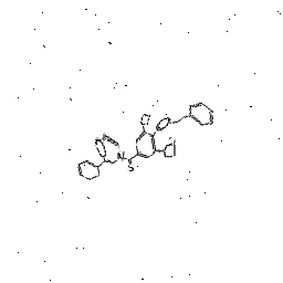 S=C(c1cc(Cl)c(OCc2ccccc2)c(Cl)c1)N1C=COC(C2=CC=CCC2)=C1